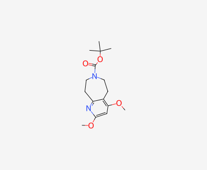 COc1cc(OC)c2c(n1)CCN(C(=O)OC(C)(C)C)CC2